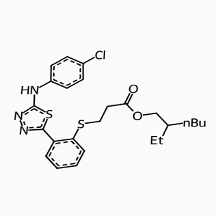 CCCCC(CC)COC(=O)CCSc1ccccc1-c1nnc(Nc2ccc(Cl)cc2)s1